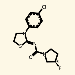 O=C(N=C1SCCN1c1ccc(Cl)cc1)N1CC[C@@H](F)C1